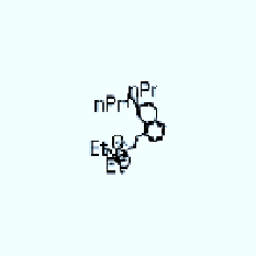 CCCN(CCC)C1CCc2cccc(C=CS(=O)(=O)N(CC)CC)c2C1